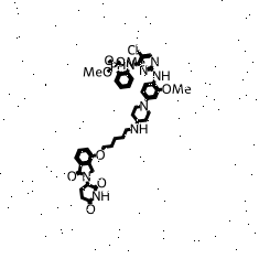 COc1cc(N2CCC(NCCCCCOc3cccc4c3CN(C3CCC(=O)NC3=O)C4=O)CC2)ccc1Nc1ncc(Cl)c(Nc2ccccc2P(=O)(OC)OC)n1